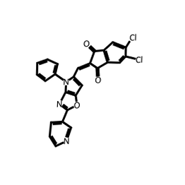 O=C1C(=Cc2cc3oc(-c4cccnc4)nc3n2-c2ccccc2)C(=O)c2cc(Cl)c(Cl)cc21